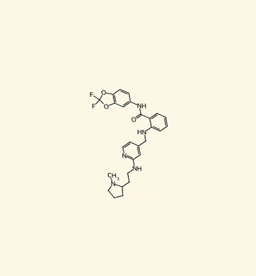 CN1CCCC1CCNc1cc(CNc2ccccc2C(=O)Nc2ccc3c(c2)OC(F)(F)O3)ccn1